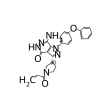 C=CC(=O)N1CC[C@@H](c2nn(-c3ccc(Oc4ccccc4)cc3)c3c(N)n[nH]c(=O)c23)C1